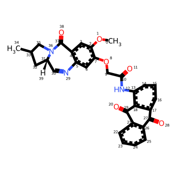 COc1cc2c(cc1OCC(=O)Nc1cccc3c1C(=O)c1ccccc1C3=O)N=C[C@@H]1CC(C)CN1C2=O